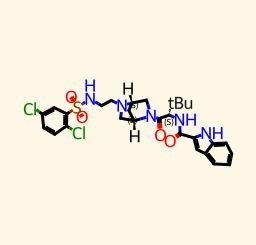 CC(C)(C)[C@H](NC(=O)c1cc2ccccc2[nH]1)C(=O)N1C[C@@H]2C[C@H]1CN2CCNS(=O)(=O)c1cc(Cl)ccc1Cl